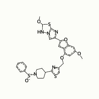 COc1cc(OCc2csc(C3CCN([S+]([O-])c4ccccc4)CC3)n2)c2cc(-c3cn4c(n3)SC(OC)N4)oc2c1